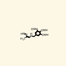 COc1cc(CN/C=C(/C)N=N)cc(OC)c1OC